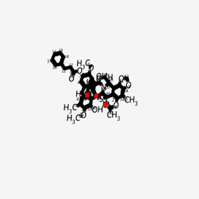 COc1cc2c(cc1OC(=O)CCc1ccccc1)CCN[C@]21CS[C@@H]2c3c(OC(C)=O)c(C)c4c(c3[C@H](COC1=O)N1C2C2c3c(cc(C)c(OC)c3O)C[C@@H]([C@@H]1O)N2C)OCO4